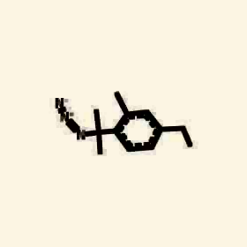 CCc1ccc(C(C)(C)N=[N+]=[N-])c(C)c1